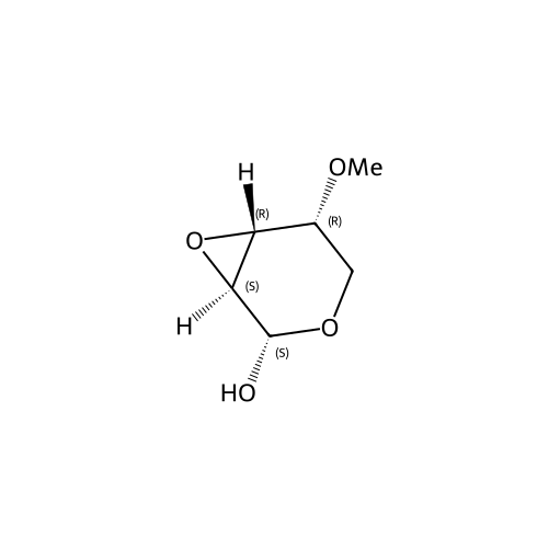 CO[C@@H]1CO[C@H](O)[C@H]2O[C@@H]21